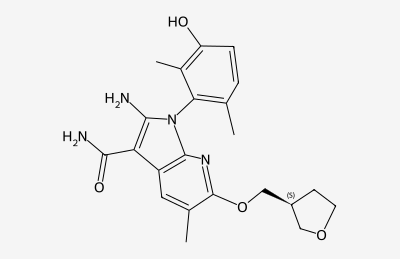 Cc1cc2c(C(N)=O)c(N)n(-c3c(C)ccc(O)c3C)c2nc1OC[C@H]1CCOC1